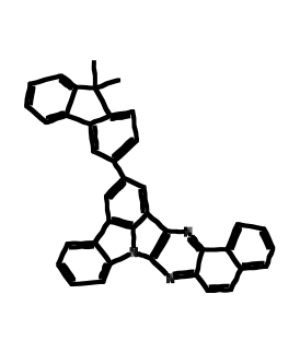 CC1(C)c2ccccc2-c2cc(-c3cc4c5ccccc5n5c6nc7ccc8ccccc8c7nc6c(c3)c45)ccc21